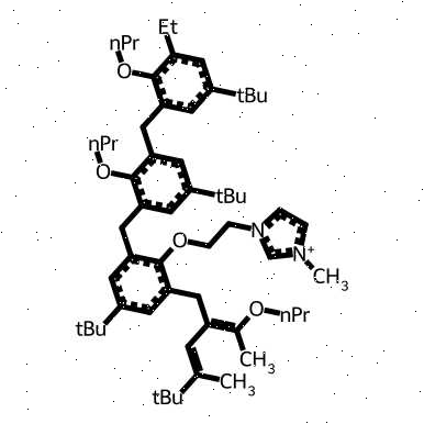 CCCO/C(C)=C(/C=C(\C)C(C)(C)C)Cc1cc(C(C)(C)C)cc(Cc2cc(C(C)(C)C)cc(Cc3cc(C(C)(C)C)cc(CC)c3OCCC)c2OCCC)c1OCCn1cc[n+](C)c1